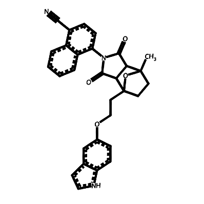 CC12CCC(CCOc3ccc4[nH]ccc4c3)(O1)C1C(=O)N(c3ccc(C#N)c4ccccc34)C(=O)C12